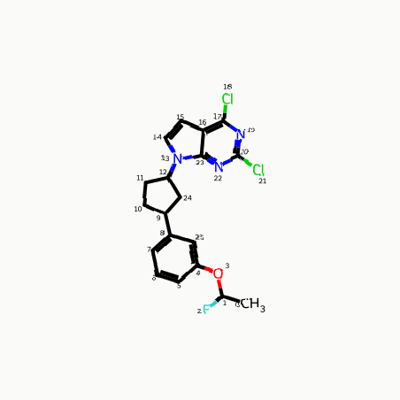 CC(F)Oc1cccc(C2CCC(n3ccc4c(Cl)nc(Cl)nc43)C2)c1